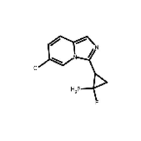 FC1(P)CC1c1ncc2ccc(Cl)cn12